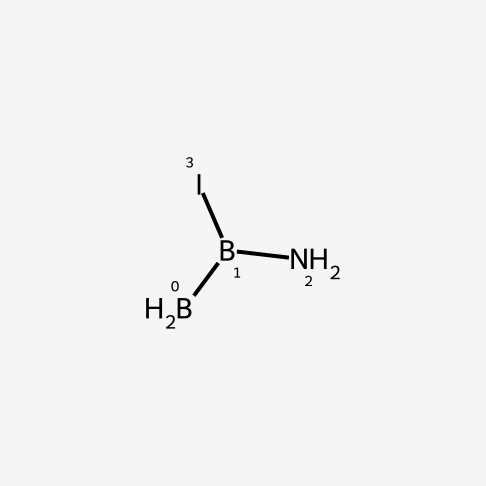 BB(N)I